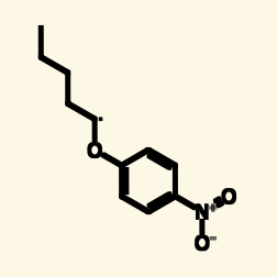 CCCC[CH]Oc1ccc([N+](=O)[O-])cc1